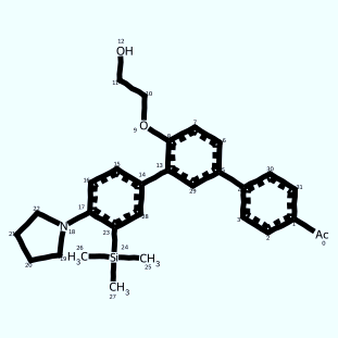 CC(=O)c1ccc(-c2ccc(OCCO)c(-c3ccc(N4CCCC4)c([Si](C)(C)C)c3)c2)cc1